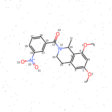 COc1cc2c(c(OC)c1)C(C)N(C(=O)c1cccc([N+](=O)[O-])c1)CC2